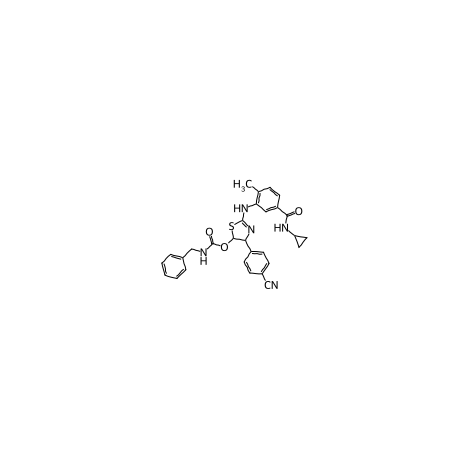 Cc1ccc(C(=O)NC2CC2)cc1NC1=NC(c2ccc(C#N)cc2)C(OC(=O)NCc2ccccc2)S1